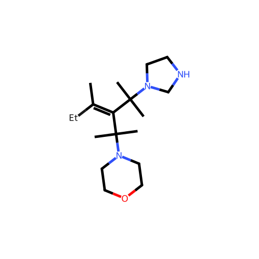 CC/C(C)=C(\C(C)(C)N1CCOCC1)C(C)(C)N1CCNC1